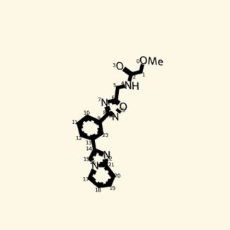 COCC(=O)NCc1nc(-c2cccc(-c3cn4ccccc4n3)c2)no1